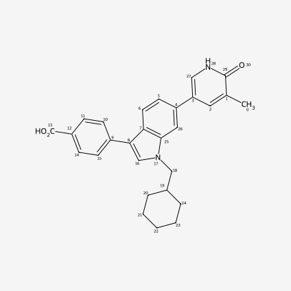 Cc1cc(-c2ccc3c(-c4ccc(C(=O)O)cc4)cn(CC4CCCCC4)c3c2)c[nH]c1=O